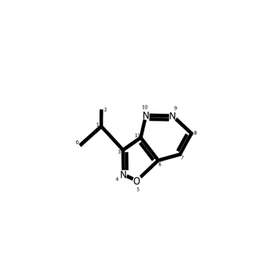 CC(C)c1noc2ccnnc12